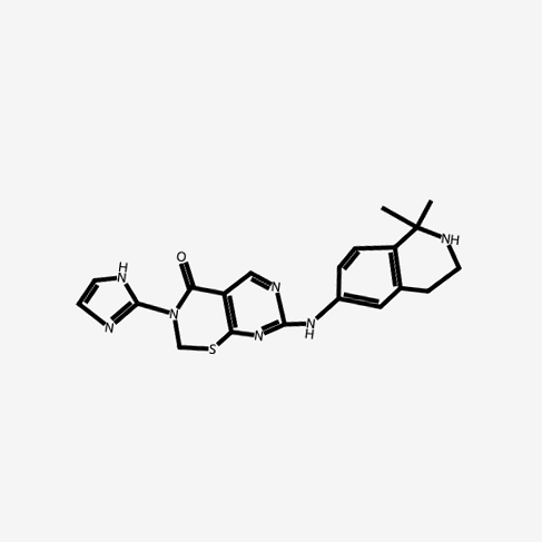 CC1(C)NCCc2cc(Nc3ncc4c(n3)SCN(c3ncc[nH]3)C4=O)ccc21